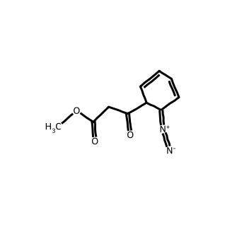 COC(=O)CC(=O)C1C=CC=CC1=[N+]=[N-]